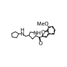 COc1cccc2cc(C(=O)C3CC(CNC4CCCC4)CN3)oc12